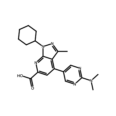 Cc1nn(C2CCCCC2)c2nc(C(=O)O)cc(-c3cnc(N(C)C)nc3)c12